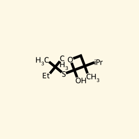 CCC(C)(C)SC1(O)OCC1(C)C(C)C